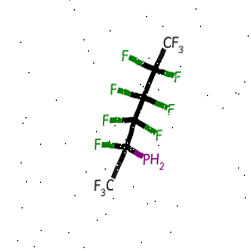 FC(F)(F)C(F)(F)C(F)(F)C(F)(F)C(F)(P)C(F)(F)F